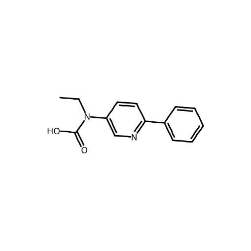 CCN(C(=O)O)c1ccc(-c2ccccc2)nc1